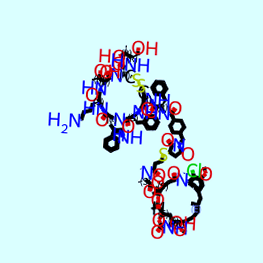 COc1cc2cc(c1Cl)N(C)C(=O)C[C@H](OC(=O)[C@H](C)N(C)C(=O)CCSC1CC(=O)N(CC3CCC(C(=O)N[C@H](Cc4ccccc4)C(=O)N[C@H]4CSSC[C@@H](C(=O)N[C@H](CO)[C@@H](C)O)NC(=O)[C@H]([C@@H](C)O)NC(=O)[C@H](CCCCN)NC(=O)[C@@H](Cc5c[nH]c6ccccc56)NC(=O)[C@H](Cc5ccccc5)NC4=O)CC3)C1=O)C(C)(C)O[C@H](C)[C@@H]1C[C@@](O)(NC(=O)O1)[C@H](OC)CC/C=C(\C)C2